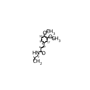 C=CCNC(=O)C=Cc1ccc(OC)c(OC)c1